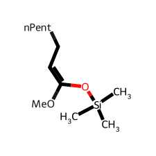 CCCCCCC=C(OC)O[Si](C)(C)C